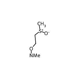 CNOCC[S+](C)[O-]